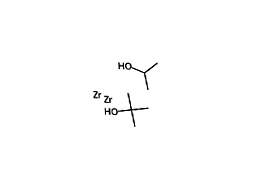 CC(C)(C)O.CC(C)O.[Zr].[Zr]